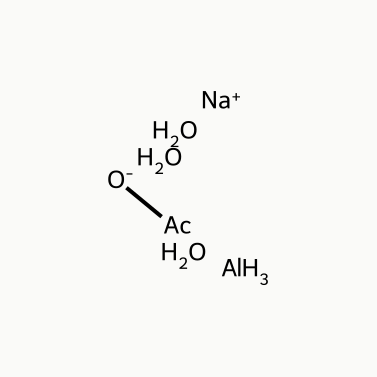 CC(=O)[O-].O.O.O.[AlH3].[Na+]